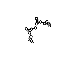 C1=CC2C(C=C1C1C=Cc3c(oc4ccncc34)C1)c1cc(-c3cccc(-c4ccc5c(c4)c4cc(-c6ccc7c(c6)oc6ccncc67)ccc4n5-c4ccccc4)c3)ccc1N2c1ccccc1